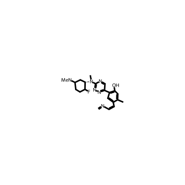 C=N/C=C\c1cc(-c2cnc(N(C)[C@H]3CC(NC)CCC3F)nn2)c(O)cc1C